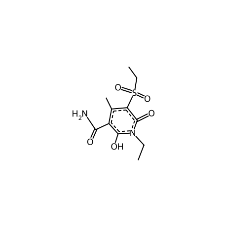 CCn1c(O)c(C(N)=O)c(C)c(S(=O)(=O)CC)c1=O